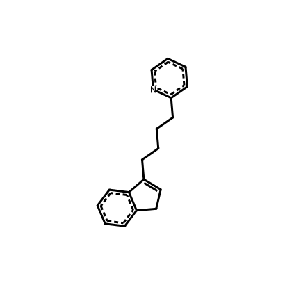 C1=C(CCCCc2ccccn2)c2ccccc2C1